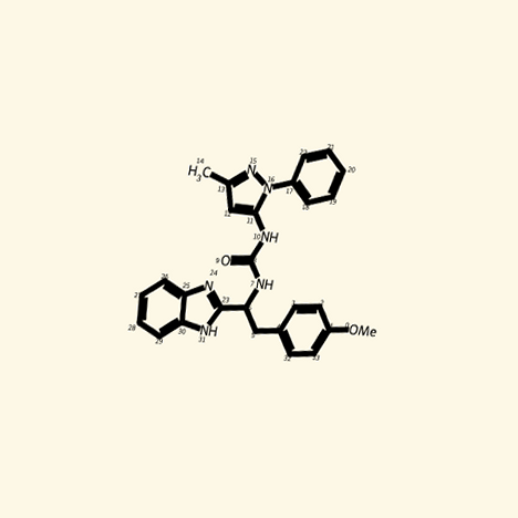 COc1ccc(CC(NC(=O)Nc2cc(C)nn2-c2ccccc2)c2nc3ccccc3[nH]2)cc1